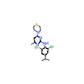 Cc1cc(N2CCSCC2)nc(Nc2c(Br)cc(C(C)C)cc2Br)n1